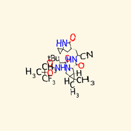 CC(C)(C)[C@H](NC(=O)OC(C)(C)C(F)(F)F)C(=O)N1C[C@H]2[C@@H]([C@H]1C(=O)N[C@H](C#N)C[C@@H]1CC3(CC3)NC1=O)C2(C)C